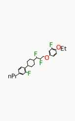 CCCc1ccc(C2CCC(C(F)C(F)COc3ccc(OCC)c(F)c3)CC2)c(F)c1